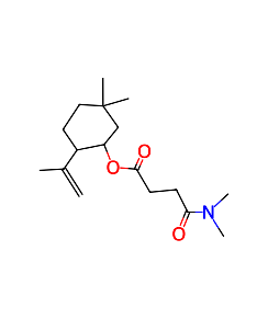 C=C(C)C1CCC(C)(C)CC1OC(=O)CCC(=O)N(C)C